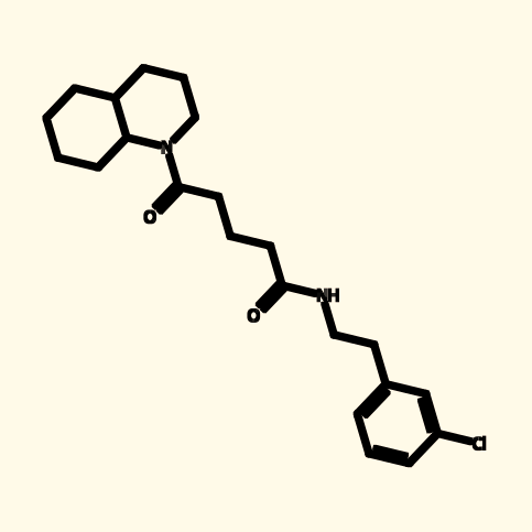 O=C(CCCC(=O)N1CCCC2CCCCC21)NCCc1cccc(Cl)c1